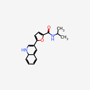 CC(C)NC(=O)c1ccc(C2=CNC3C=CC=CC3=C2)o1